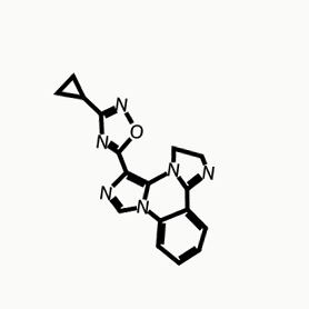 c1ccc2c(c1)C1=NCCN1c1c(-c3nc(C4CC4)no3)ncn1-2